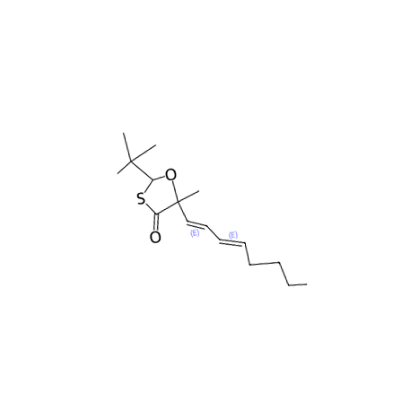 CCCC/C=C/C=C/C1(C)OC(C(C)(C)C)SC1=O